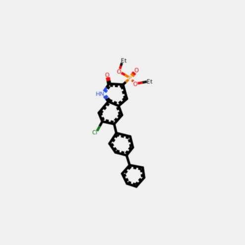 CCOP(=O)(OCC)c1cc2cc(-c3ccc(-c4ccccc4)cc3)c(Cl)cc2[nH]c1=O